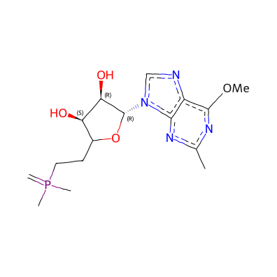 C=P(C)(C)CCC1O[C@@H](n2cnc3c(OC)nc(C)nc32)[C@H](O)[C@@H]1O